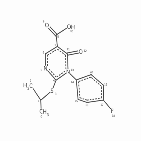 CC(C)Sc1ncc(C(=O)O)c(=O)n1-c1ccc(F)cc1